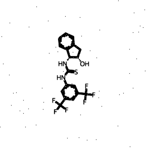 O[C@H]1Cc2ccccc2[C@H]1NC(=S)Nc1cc(C(F)(F)F)cc(C(F)(F)F)c1